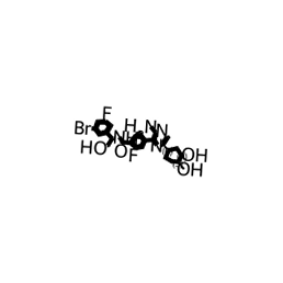 Nc1ncc([C@@H]2CC[C@H](O)[C@H](O)C2)nc1-c1ccc(C(=O)NC(CO)c2cc(F)cc(Br)c2)c(F)c1